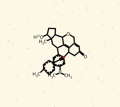 Cc1ccc(C#CC2CC(=O)C=C3COC4C(=C32)C(c2ccc(N(C)C)cc2)CC2(C)C([17OH])CCC42)cc1